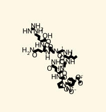 CC[C@H](C)[C@H](NC(=O)CNC(=O)[C@H](CCC(N)=O)NC(=O)[C@@H]1CCCN1c1ccc([N+](=O)[O-])cc1[N+](=O)[O-])C(=O)N[C@@H](C)C(=O)NCC(=O)N[C@@H](CCC(N)=O)C(=O)N[C@@H](CCCNC(=N)N)C(=O)O